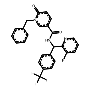 O=C(NC(c1ccc(C(F)(F)F)cc1)c1ncccc1F)c1ccc(=O)n(Cc2ccccc2)c1